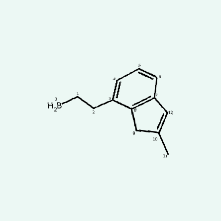 BCCc1cccc2c1CC(C)=C2